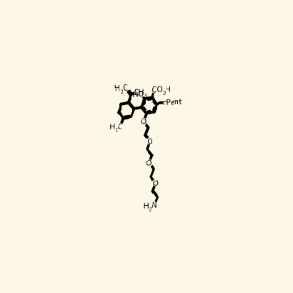 C=C(C)C1CCC(C)=CC1c1c(OCCOCCOCCOCCN)cc(CCCCC)c(C(=O)O)c1O